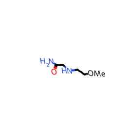 COCCNCC(N)=O